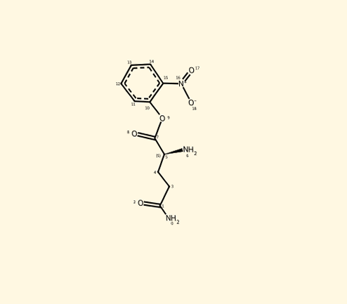 NC(=O)CC[C@H](N)C(=O)Oc1ccccc1[N+](=O)[O-]